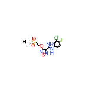 CS(=O)(=O)CCOc1nonc1C(=N)Nc1ccc(F)c(Cl)c1